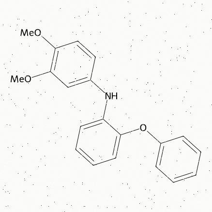 COc1ccc(Nc2ccccc2Oc2ccccc2)cc1OC